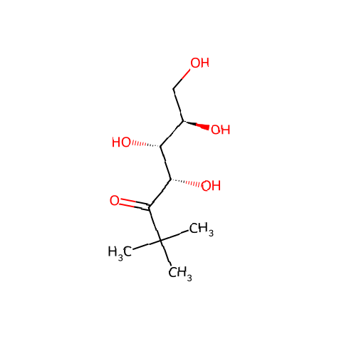 CC(C)(C)C(=O)[C@@H](O)[C@H](O)[C@H](O)CO